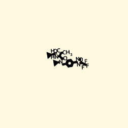 CC(C)C(NC(=O)C1CC1)C(=O)N(Cc1ccc(-c2noc(C(F)(F)F)n2)cc1)C1CC1